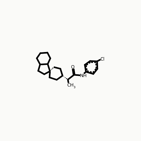 CC(C(=O)Nc1ccc(Cl)cc1)[C@H]1CC[C@@]2(CCC3CCCCC32)CC1